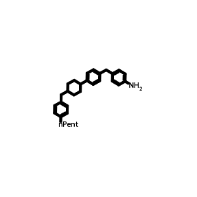 CCCCCc1ccc(CC2CCC(c3ccc(Cc4ccc(N)cc4)cc3)CC2)cc1